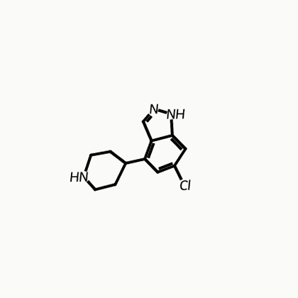 Clc1cc(C2CCNCC2)c2cn[nH]c2c1